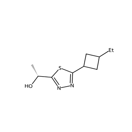 CCC1CC(c2nnc([C@@H](C)O)s2)C1